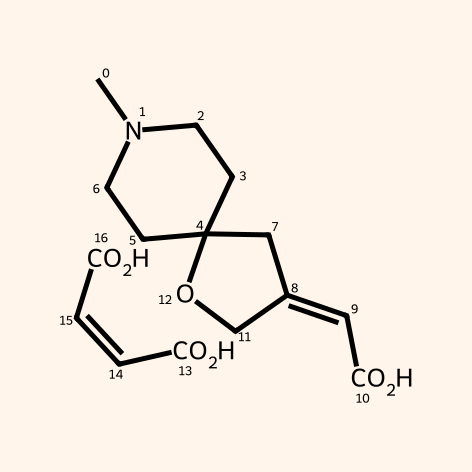 CN1CCC2(CC1)CC(=CC(=O)O)CO2.O=C(O)/C=C\C(=O)O